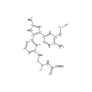 COC(=O)NC(C)CNc1nccc(-c2[nH]c(C(C)(C)C)nc2-c2cnc(N)c(OCF)n2)n1